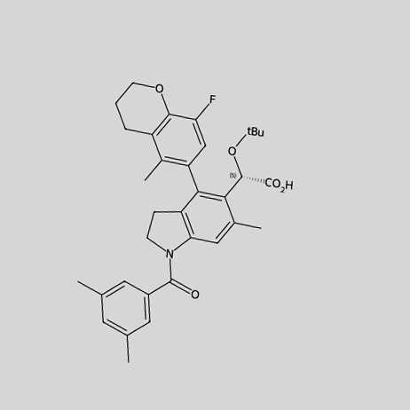 Cc1cc(C)cc(C(=O)N2CCc3c2cc(C)c([C@H](OC(C)(C)C)C(=O)O)c3-c2cc(F)c3c(c2C)CCCO3)c1